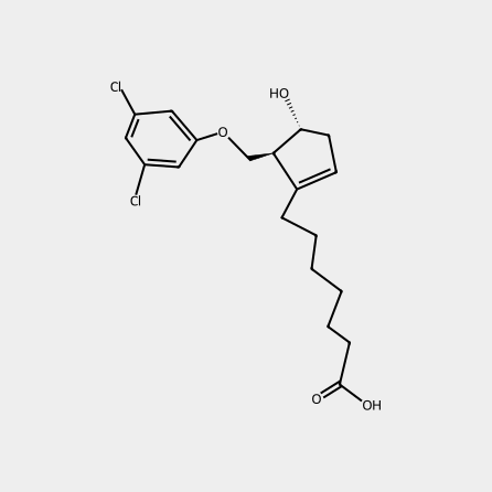 O=C(O)CCCCCCC1=CC[C@@H](O)[C@@H]1COc1cc(Cl)cc(Cl)c1